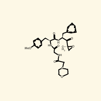 COc1ccc(C[C@H](NC(=O)CNC(=O)CN2CCOCC2)C(=O)N[C@@H](Cc2ccccc2)C(=O)[C@]2(C)CO2)cc1